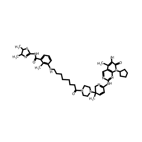 CC(=O)c1c(C)c2cnc(NC3=NCC(C)(N4CCN(C(=O)CCCCCCCNc5cccc(C(=O)NC6=NC(C)C(C)S6)c5C)CC4)C=C3)nc2n(C2CCCC2)c1=O